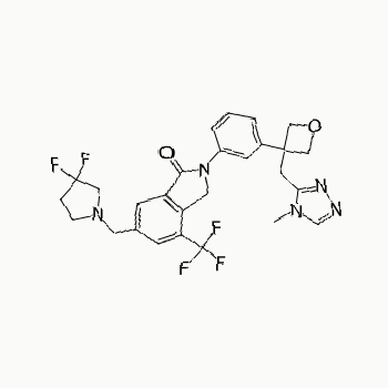 Cn1cnnc1CC1(c2cccc(N3Cc4c(cc(CN5CCC(F)(F)C5)cc4C(F)(F)F)C3=O)c2)COC1